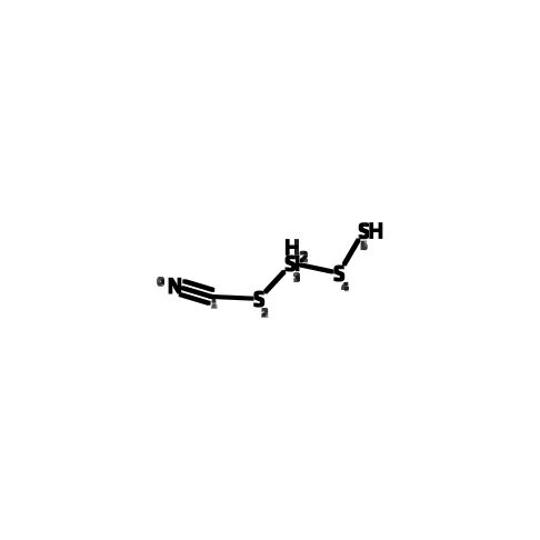 N#CS[SiH2]SS